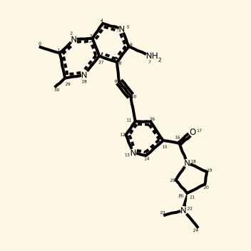 Cc1nc2cnc(N)c(C#Cc3cncc(C(=O)N4CC[C@@H](N(C)C)C4)c3)c2nc1C